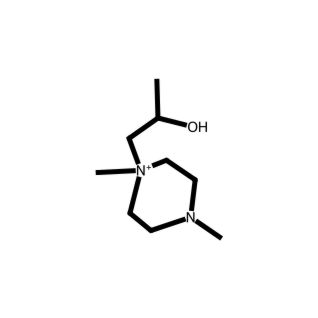 CC(O)C[N+]1(C)CCN(C)CC1